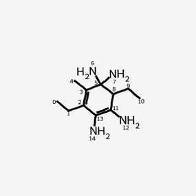 CCC1=C(C)C(N)(N)C(CC)C(N)=C1N